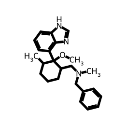 COC1(c2cccc3[nH]cnc23)C(C)CCCC1CN(C)Cc1ccccc1